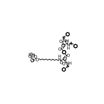 CC(C)(C)OC(=O)N1CCC[C@H]1C(=O)OCCCCCCCCCCCCNC(=O)[C@@H]1CN(C(=O)c2ccc(C(=O)N3C[C@@H](C(=O)N[C@H]4C[C@@H]4c4ccccc4)[C@H](C(=O)N[C@H]4C[C@@H]4c4ccccc4)C3)cc2)C[C@H]1C(=O)N[C@H]1C[C@@H]1c1ccccc1